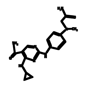 CN(CC(N)=O)c1ccc(Nc2ncc(C(N)=O)c(NC3CC3)n2)cc1